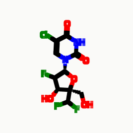 O=c1[nH]c(=O)n([C@@H]2O[C@@](CO)(C(F)F)[C@@H](O)C2F)cc1Cl